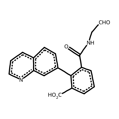 O=CCNC(=O)c1cccc(C(=O)O)c1-c1ccc2cccnc2c1